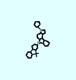 CC1(C)c2ccccc2-c2ccc(-n3c4ccccc4c4c5ccn(-c6ccccc6)c5ccc43)cc21